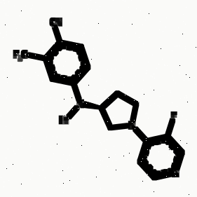 CCN(c1ccc(C#N)c(C(F)(F)F)c1)[C@H]1CCN(c2ccncc2F)C1